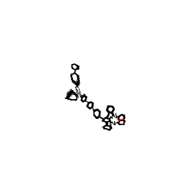 c1ccc(-c2ccc(N(c3ccccc3)c3ccc(-c4ccc(-c5ccc(-c6cc7c8ccccc8n(-c8ccccc8)c7c7c6c6ccccc6n7-c6ccccc6)cc5)cc4)cc3)cc2)cc1